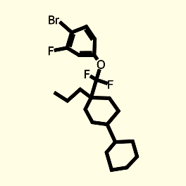 CCCC1(C(F)(F)Oc2ccc(Br)c(F)c2)CCC(C2CCCCC2)CC1